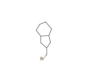 BrCC1CC2CCCCC2C1